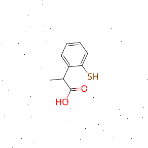 CC(C(=O)O)c1ccccc1S